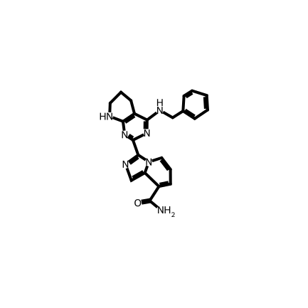 NC(=O)c1cccn2c(-c3nc4c(c(NCc5ccccc5)n3)CCCN4)ncc12